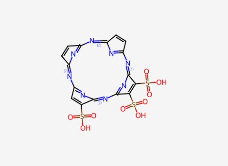 O=S(=O)(O)C1=CC2=NC/1=N\C1=NC(=N\C3=NC(=N\C4=NC(=N\2)/C=C4)/C=C3)/C(S(=O)(=O)O)=C1S(=O)(=O)O